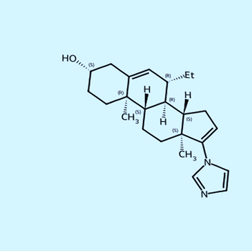 CC[C@H]1C=C2C[C@@H](O)CC[C@]2(C)[C@H]2CC[C@]3(C)C(n4ccnc4)=CC[C@H]3[C@H]12